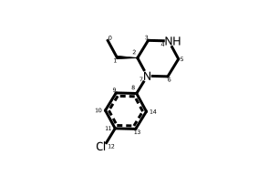 CC[C@H]1CNCCN1c1ccc(Cl)cc1